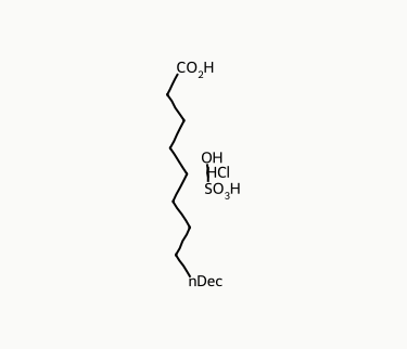 CCCCCCCCCCCCCCCCCC(=O)O.Cl.O=S(=O)(O)O